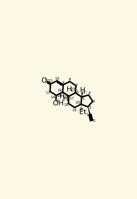 C#C[C@@H]1CC[C@H]2[C@@H]3CCC4=CC(=O)CC(O)[C@@H]4[C@H]3CC[C@]12CC